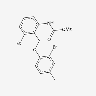 CCc1cccc(NC(=O)OC)c1COc1ccc(C)cc1Br